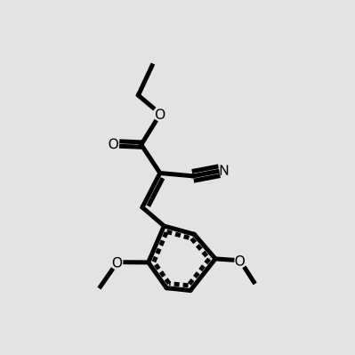 CCOC(=O)/C(C#N)=C/c1cc(OC)ccc1OC